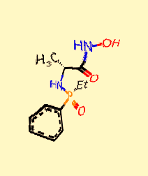 CC[P@@](=O)(N[C@H](C)C(=O)NO)c1ccccc1